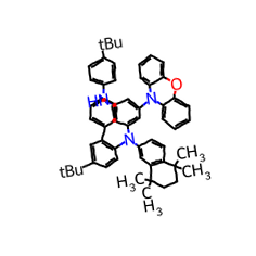 CC(C)(C)c1ccc(Nc2cc(N(c3ccc4c(c3)C(C)(C)CCC4(C)C)c3ccc(C(C)(C)C)cc3-c3ccccc3)cc(N3c4ccccc4Oc4ccccc43)c2)cc1